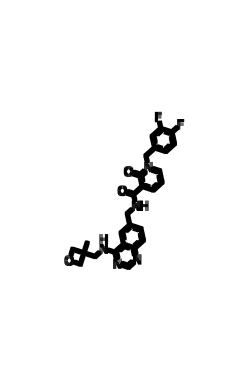 CC1(CNc2ncnc3ccc(CNC(=O)c4cccn(Cc5ccc(F)c(F)c5)c4=O)cc23)COC1